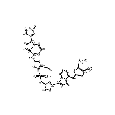 CCOC(=O)c1sc(Nc2nccn3c(-c4cnn(CS(=O)(=O)c5sc(Nc6nccn7c(-c8cnn(C)c8)cnc67)cc5C)c4)cnc23)cc1C(C)C